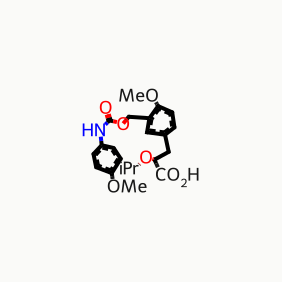 COc1ccc(NC(=O)OCc2cc(CC(OC(C)C)C(=O)O)ccc2OC)cc1